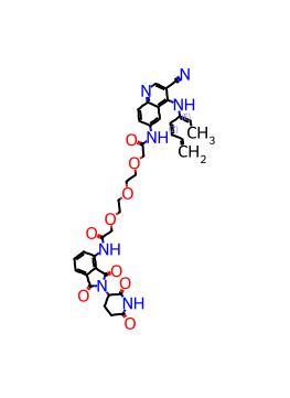 C=C/C=C\C(=C/C)Nc1c(C#N)cnc2ccc(NC(=O)COCCOCCOCC(=O)Nc3cccc4c3C(=O)N(C3CCC(=O)NC3=O)C4=O)cc12